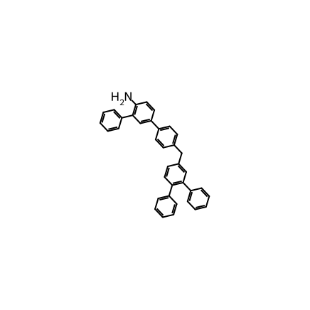 Nc1ccc(-c2ccc(Cc3ccc(-c4ccccc4)c(-c4ccccc4)c3)cc2)cc1-c1ccccc1